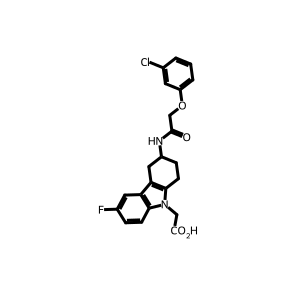 O=C(O)Cn1c2c(c3cc(F)ccc31)CC(NC(=O)COc1cccc(Cl)c1)CC2